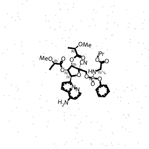 CO[C@H](C)C(=O)O[C@H]1[C@H](c2ccc3c(N)ccnn23)O[C@](C#N)(CO[P@@](=O)(N[C@@H](C)C(=O)OC(C)C)Oc2ccccc2)[C@H]1OC(=O)[C@@H](C)OC